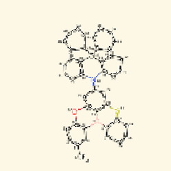 FC(F)(F)c1ccc2c(c1)B1c3ccccc3Sc3cc(N4c5ccccc5[Si](c5ccccc5)(c5ccccc5)c5ccccc54)cc(c31)O2